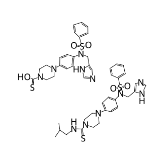 CC(C)CNC(=S)N1CCN(c2ccc(N(Cc3cnc[nH]3)S(=O)(=O)c3ccccc3)cc2)CC1.O=S(=O)(c1ccccc1)N(Cc1cnc[nH]1)c1ccc(N2CCN(C(O)=S)CC2)cc1